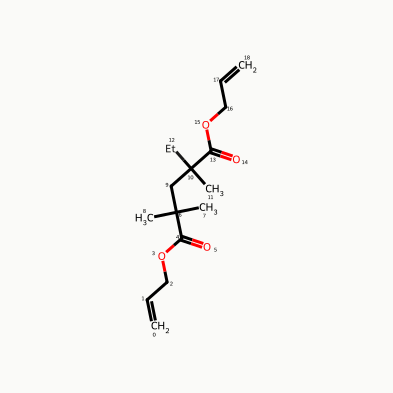 C=CCOC(=O)C(C)(C)CC(C)(CC)C(=O)OCC=C